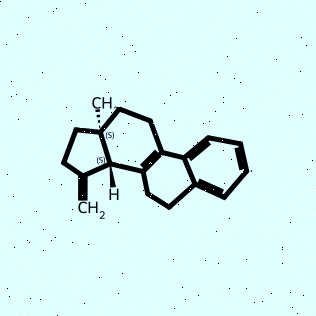 C=C1CC[C@@]2(C)CCC3=C(CCc4c[c]ccc43)[C@H]12